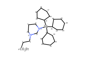 CCOC(=O)CCN1CCCN([Si](C2CCCCC2)(C2CCCCC2)C2CCCCC2)C1